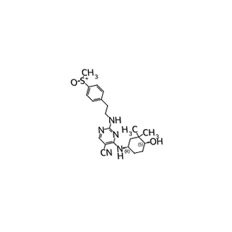 C[S+]([O-])c1ccc(CCNc2ncc(C#N)c(N[C@@H]3CC[C@H](O)C(C)(C)C3)n2)cc1